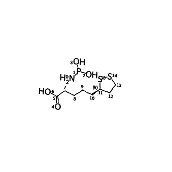 NP(O)O.O=C(O)CCCC[C@@H]1CCSS1